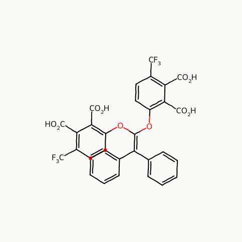 O=C(O)c1c(OC(Oc2ccc(C(F)(F)F)c(C(=O)O)c2C(=O)O)=C(c2ccccc2)c2ccccc2)ccc(C(F)(F)F)c1C(=O)O